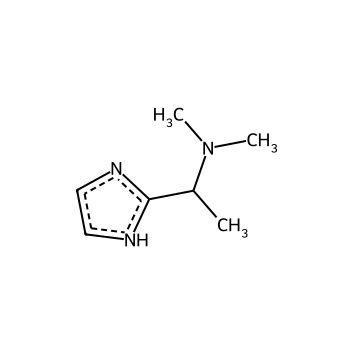 CC(c1ncc[nH]1)N(C)C